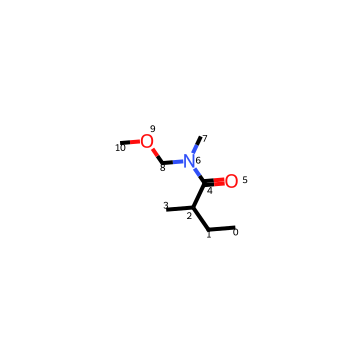 CCC(C)C(=O)N(C)COC